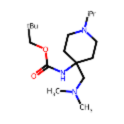 CC(C)N1CCC(CN(C)C)(NC(=O)OCC(C)(C)C)CC1